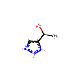 C[C@H](O)c1c[nH]nn1